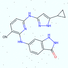 O=Nc1ccc(Nc2cc(C3CC3)[nH]n2)nc1Nc1ccc2c(=O)[nH][nH]c2c1